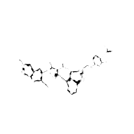 Cc1cc(C(O)Cn2cc3c(-c4nn(-c5cc6cn(C)nc6nc5C)c(C)c4C(C)C)cccc3n2)ccc1C(=O)O